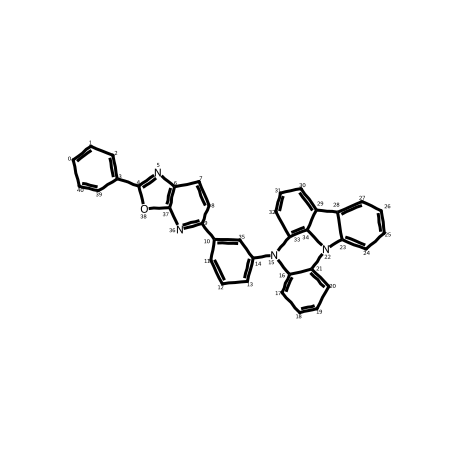 c1ccc(-c2nc3ccc(-c4cccc(N5c6ccccc6-n6c7ccccc7c7cccc5c76)c4)nc3o2)cc1